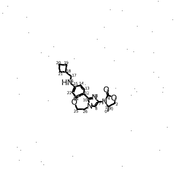 C[C@@H]1COC(=O)N1c1cn2c(n1)-c1ccc(NCC3CCC3)cc1OCC2